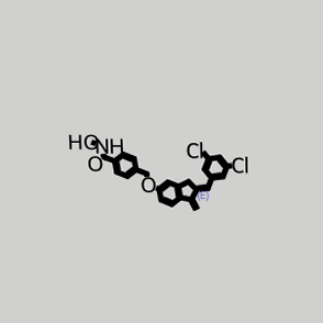 C=C1/C(=C/c2cc(Cl)cc(Cl)c2)Cc2cc(OCc3ccc(C(=O)NO)cc3)ccc21